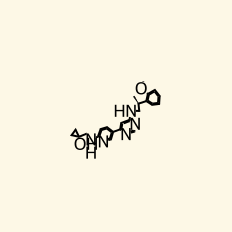 COc1ccccc1[C@H](C)CNc1cc(-c2ccc(NCC3(O)CC3)nc2)ncn1